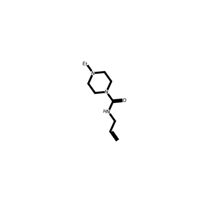 [CH2]CN1CCN(C(=O)NCC=C)CC1